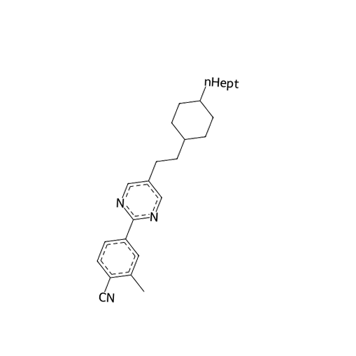 CCCCCCCC1CCC(CCc2cnc(-c3ccc(C#N)c(C)c3)nc2)CC1